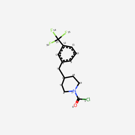 O=C(Cl)N1CCC(Cc2cccc(C(F)(F)F)c2)CC1